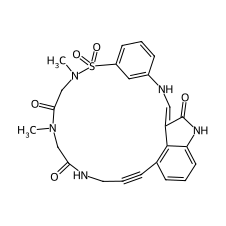 CN1CC(=O)NCC#Cc2cccc3c2/C(=C/Nc2cccc(c2)S(=O)(=O)N(C)CC1=O)C(=O)N3